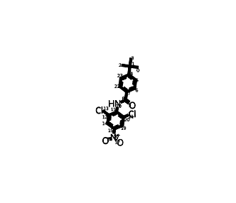 CC(C)(C)c1ccc(C(=O)Nc2c(Cl)cc([N+](=O)[O-])cc2Cl)cc1